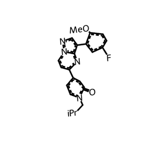 COc1ccc(F)cc1-c1cnn2ccc(-c3ccn(CC(C)C)c(=O)c3)nc12